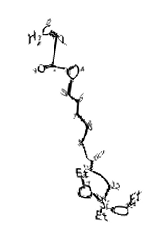 C=CC(=O)OCCCCCCCC[Si](CC)(OCC)OCC